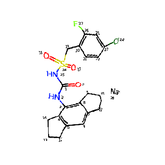 O=C(Nc1c2c(cc3c1CCC3)CCC2)NS(=O)(=O)Cc1ccc(Cl)cc1F.[Na]